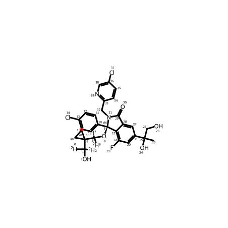 [2H]C([2H])(O)C1(C([2H])([2H])O[C@]2(c3ccc(Cl)cc3)c3c(F)cc(C(C)(O)CO)cc3C(=O)N2Cc2ccc(Cl)cn2)CC1